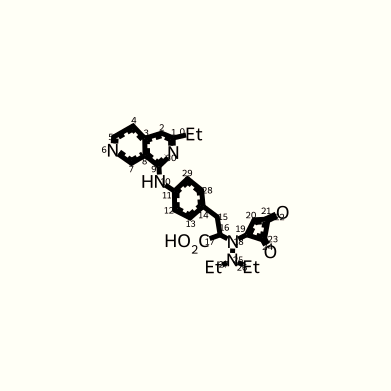 CCc1cc2ccncc2c(Nc2ccc(CC(C(=O)O)N(c3cc(=O)c3=O)N(CC)CC)cc2)n1